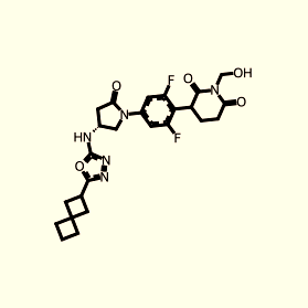 O=C1CCC(c2c(F)cc(N3C[C@H](Nc4nnc(C5CC6(CCC6)C5)o4)CC3=O)cc2F)C(=O)N1CO